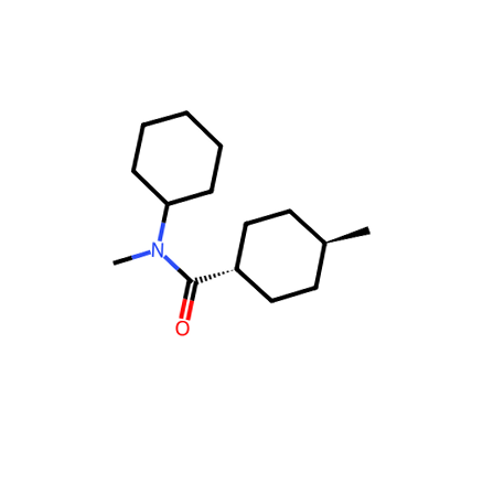 CN(C(=O)[C@H]1CC[C@H](C)CC1)C1CCCCC1